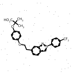 CC(C)(Oc1ccc(OCCc2ccc3cn(-c4ccc(C(F)(F)F)cc4)nc3c2)cc1)C(=O)O